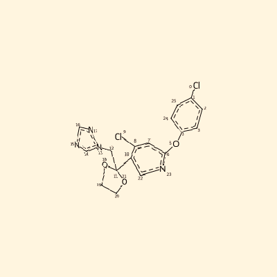 Clc1ccc(Oc2cc(Cl)c(C3(Cn4cncn4)OCCO3)cn2)cc1